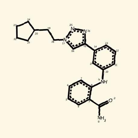 NC(=O)c1ccccc1Nc1cccc(-c2cn(CCC3CCCC3)nn2)c1